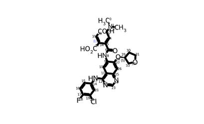 CN(C)CC=C(C(=O)Nc1cc2c(Nc3ccc(F)c(Cl)c3)ncnc2cc1O[C@H]1CCOC1)/C(=C\C(=O)O)C(=O)O